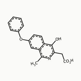 Cc1nc(CC(=O)O)c(O)c2ccc(Oc3ccccc3)cc12